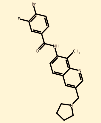 Cc1c(NC(=O)c2ccc(Br)c(F)c2)ccc2cc(CN3CCCC3)cnc12